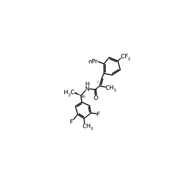 CCCc1cc(C(F)(F)F)ccc1/C=C(\C)C(=O)N[C@H](C)c1cc(F)c(C)c(F)c1